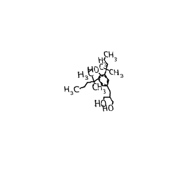 CCCC(C)(C)c1cc(CC(CO)CO)cc(C(C)(C)CCC)c1O